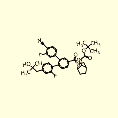 CC(C)(O)Cc1ccc(-c2ccc(C(=O)N3CC4CCC3C4NC(=O)OC(C)(C)C)cc2-c2ccc(C#N)c(F)c2)c(F)c1